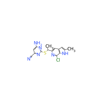 Cc1cc2cc(C(C)Sc3nc(N)cc(C#N)n3)nc(Cl)c2[nH]1